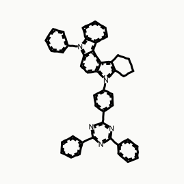 c1ccc(-c2nc(-c3ccccc3)nc(-c3ccc(-n4c5c(c6c7c8ccccc8n(-c8ccccc8)c7ccc64)CCCC5)cc3)n2)cc1